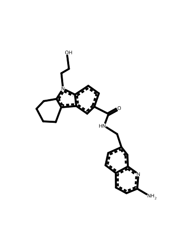 Nc1ccc2ccc(CNC(=O)c3ccc4c(c3)c3c(n4CCO)CCCC3)cc2n1